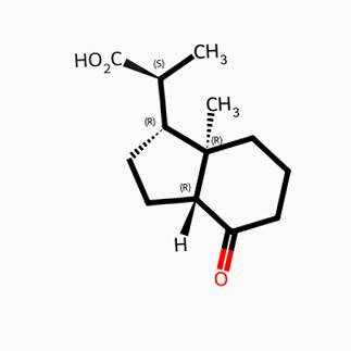 C[C@H](C(=O)O)[C@H]1CC[C@H]2C(=O)CCC[C@]12C